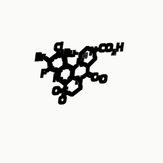 CC(C)(C)[C@@H]1CN(C(=O)O)CC2C(=C=O)N3CCS(=O)(=O)c4nc5c(F)c(Br)c(Cl)cc5c(c43)N21